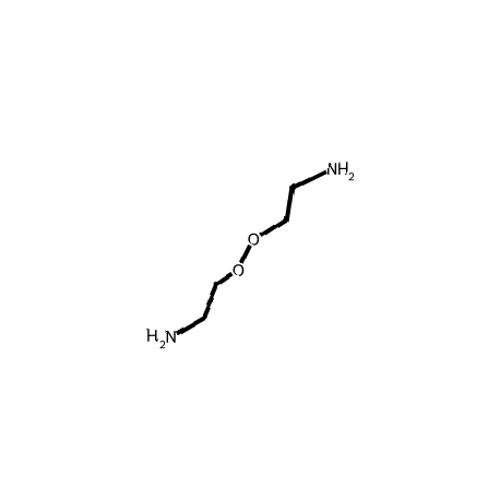 NCCOOCCN